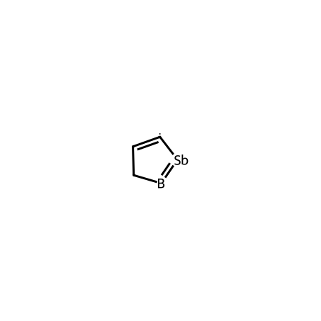 [B]1=[Sb][C]=CC1